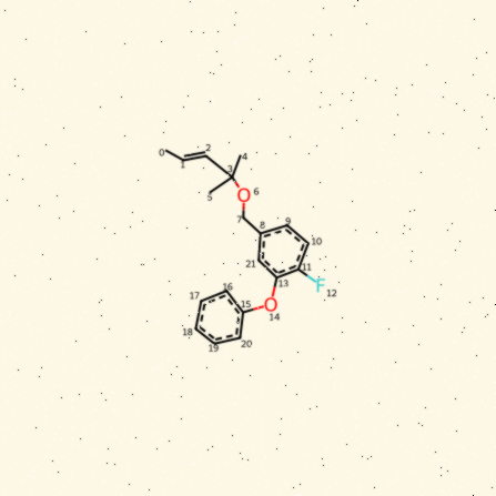 CC=CC(C)(C)OCc1ccc(F)c(Oc2ccccc2)c1